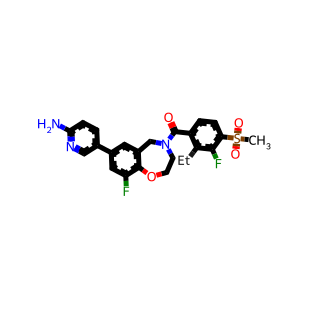 CCc1c(C(=O)N2CCOc3c(F)cc(-c4ccc(N)nc4)cc3C2)ccc(S(C)(=O)=O)c1F